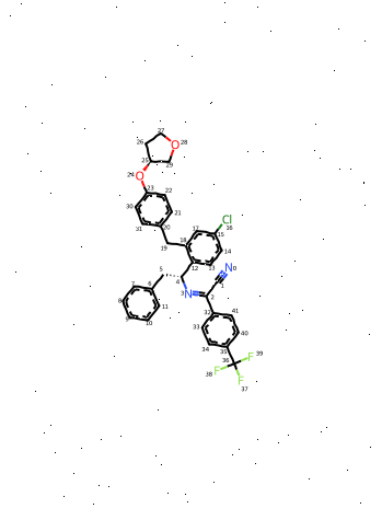 N#C/C(=N\[C@H](Cc1ccccc1)c1ccc(Cl)cc1Cc1ccc(O[C@H]2CCOC2)cc1)c1ccc(C(F)(F)F)cc1